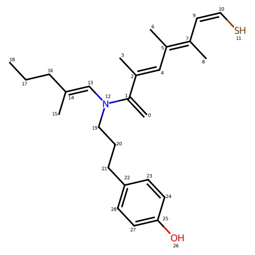 C=C(/C(C)=C/C(C)=C(C)/C=C\S)N(/C=C(\C)CCC)CCCc1ccc(O)cc1